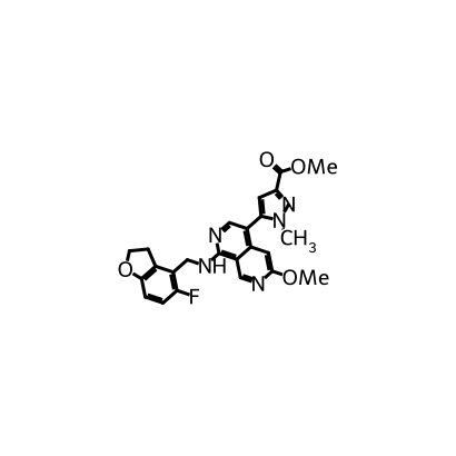 COC(=O)c1cc(-c2cnc(NCc3c(F)ccc4c3CCO4)c3cnc(OC)cc23)n(C)n1